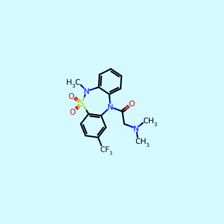 CN(C)CC(=O)N1c2ccccc2N(C)S(=O)(=O)c2ccc(C(F)(F)F)cc21